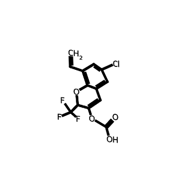 C=Cc1cc(Cl)cc2c1OC(C(F)(F)F)C(OC(=O)O)=C2